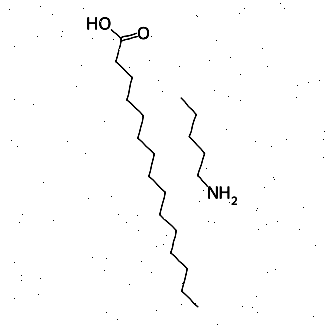 CCCCCCCCCCCCCCC(=O)O.CCCCCN